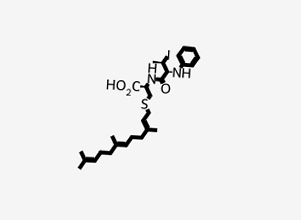 CC(C)=CCC/C(C)=C/CC/C(C)=C/CSC[C@H](NC(=O)[C@@H](Nc1ccccc1)[C@@H](C)I)C(=O)O